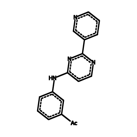 CC(=O)c1cccc(Nc2ccnc(-c3cccnc3)n2)c1